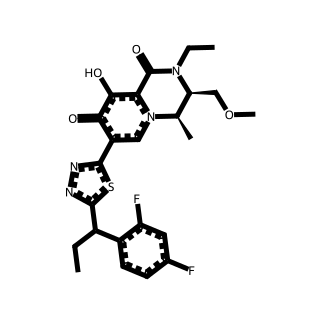 CCC(c1nnc(-c2cn3c(c(O)c2=O)C(=O)N(CC)[C@@H](COC)[C@H]3C)s1)c1ccc(F)cc1F